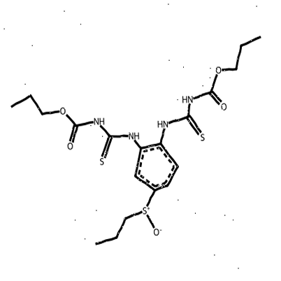 CCCOC(=O)NC(=S)Nc1ccc([S+]([O-])CCC)cc1NC(=S)NC(=O)OCCC